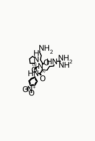 N=C(N)NCCC[C@@H](C(=O)Nc1ccc([N+](=O)[O-])cc1)N(C(=O)CCCN)C(=O)[C@@H]1CCCN1